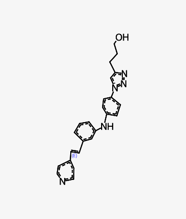 OCCCc1cn(-c2ccc(Nc3cccc(/C=C/c4ccncc4)c3)cc2)nn1